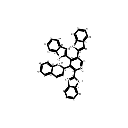 C1=CC(c2c(-c3nc4ccccc4s3)ncc(-c3cc4ccccc4o3)c2-c2cc3ccccc3s2)Oc2ccccc21